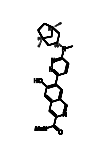 CNC(=O)c1cc2cc(O)c(-c3ccc(N(C)[C@H]4C[C@]5(C)CC[C@](C)(C4)C5)nn3)cc2cn1